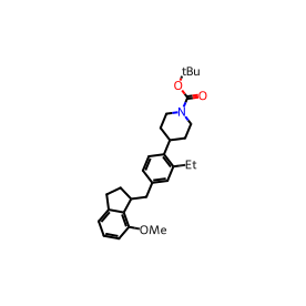 CCc1cc(CC2CCc3cccc(OC)c32)ccc1C1CCN(C(=O)OC(C)(C)C)CC1